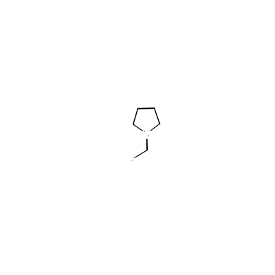 [SiH3]CN1CCCC1